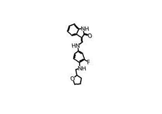 O=C1Nc2ccccc2/C1=C\Nc1ccc(NCC2CCCO2)c(F)c1